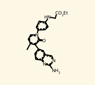 CCOC(=O)CNc1ccc(-n2ccc(C)c(-c3ccc4nc(N)ncc4c3)c2=O)cc1